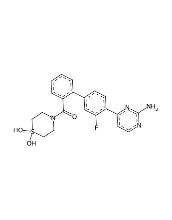 Nc1nccc(-c2ccc(-c3ccccc3C(=O)N3CCS(O)(O)CC3)cc2F)n1